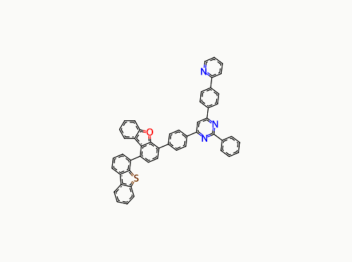 c1ccc(-c2nc(-c3ccc(-c4ccccn4)cc3)cc(-c3ccc(-c4ccc(-c5cccc6c5sc5ccccc56)c5c4oc4ccccc45)cc3)n2)cc1